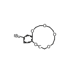 CC(C)(C)c1ccc2c(c1)OCCOCCOCCOCCO2